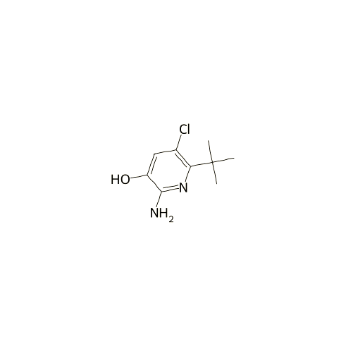 CC(C)(C)c1nc(N)c(O)cc1Cl